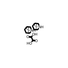 C1CC2CNC1CO2.C1CC2CNC1CO2.O=C(O)C(=O)O